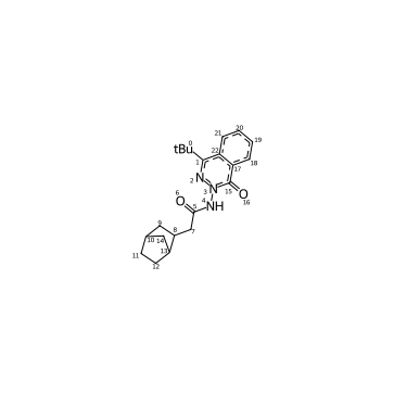 CC(C)(C)c1nn(NC(=O)CC2CC3CCC2C3)c(=O)c2ccccc12